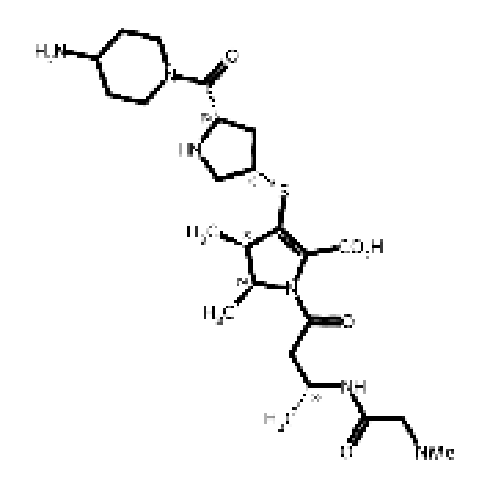 CNCC(=O)N[C@H](C)CC(=O)N1C(C(=O)O)=C(S[C@@H]2CN[C@H](C(=O)N3CCC(N)CC3)C2)[C@H](C)[C@@H]1C